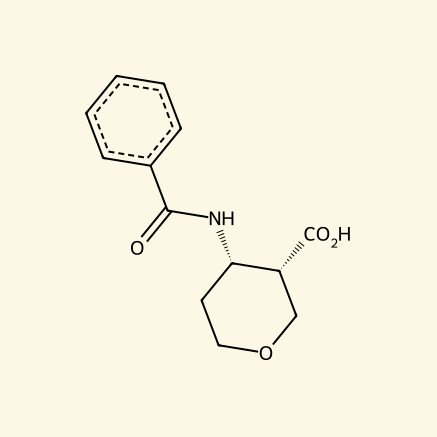 O=C(N[C@H]1CCOC[C@H]1C(=O)O)c1ccccc1